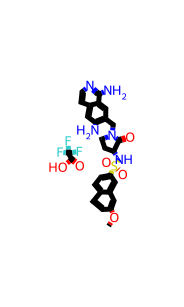 COc1ccc2ccc(S(=O)(=O)NC3CCN(Cc4cc5c(N)nccc5cc4N)C3=O)cc2c1.O=C(O)C(F)(F)F